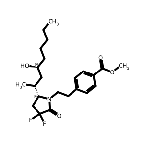 CCCCC[C@H](O)CC(C)[C@H]1CC(F)(F)C(=O)N1CCc1ccc(C(=O)OC)cc1